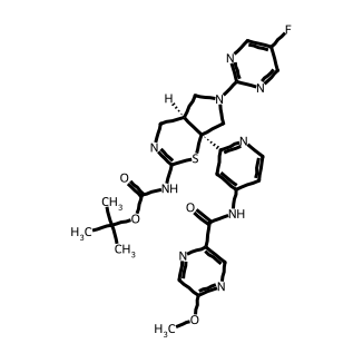 COc1cnc(C(=O)Nc2ccnc([C@@]34CN(c5ncc(F)cn5)C[C@@H]3CN=C(NC(=O)OC(C)(C)C)S4)c2)cn1